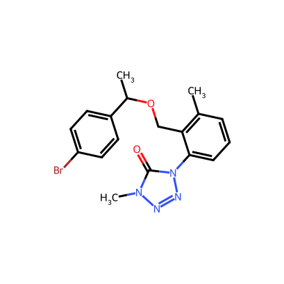 Cc1cccc(-n2nnn(C)c2=O)c1COC(C)c1ccc(Br)cc1